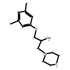 Cc1cc(C)cc(OCC(O)CN2CCOCC2)c1